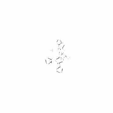 Cn1c(Cc2nc3c(Cc4ccccc4)[nH]c(-c4ccccc4)cn-3c2=O)cc2sccc21